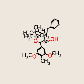 COc1cc(C(O[Si](C)(C)C(C)(C)C)[C@H](CO)CCCc2ccccc2)cc(OC)c1C